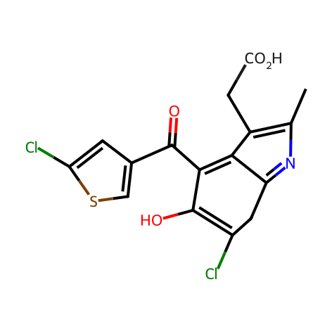 CC1=C(CC(=O)O)C2=C(C(=O)c3csc(Cl)c3)C(O)=C(Cl)CC2=N1